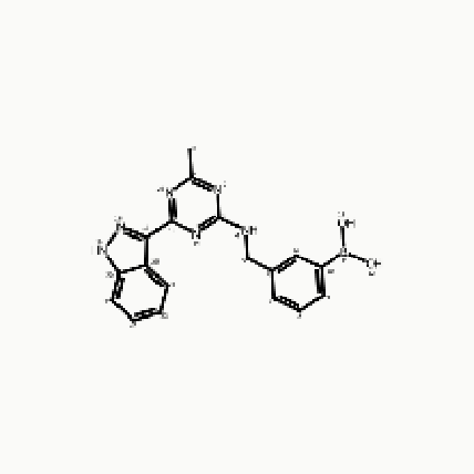 Cc1nc(NCc2cccc(B(O)O)c2)nc(-c2n[nH]c3ccccc23)n1